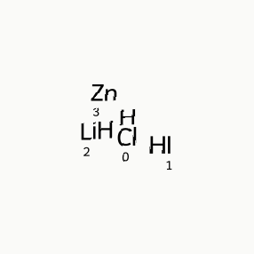 Cl.I.[LiH].[Zn]